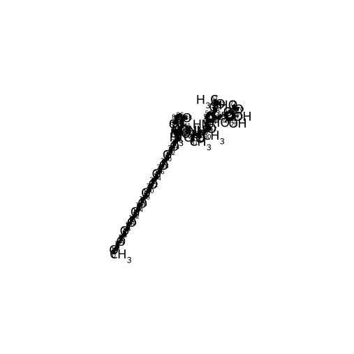 COCCOCCOCCOCCOCCOCCOCCOCCOCCOCCOCCOCCn1cc([C@H](CC(=O)N[C@H](C(=O)N[C@@H](C)C(=O)Nc2ccc(COC(C)=O)c(CC[C@@H]3O[C@H](C(=O)O)[C@@H](O)[C@H](O)[C@H]3O)c2)C(C)C)N2C(=O)C=CC2=O)nn1